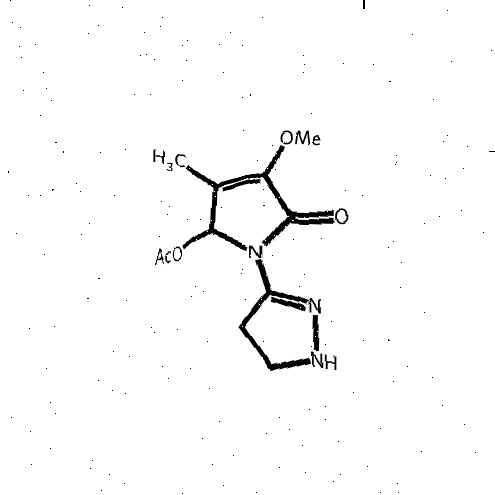 COC1=C(C)C(OC(C)=O)N(C2=NNCC2)C1=O